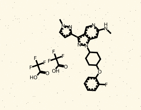 CNc1cc2c(cn1)c(-c1ccn(C)n1)nn2C1CCC(Oc2ccccc2F)CC1.O=C(O)C(F)(F)F.O=C(O)C(F)(F)F